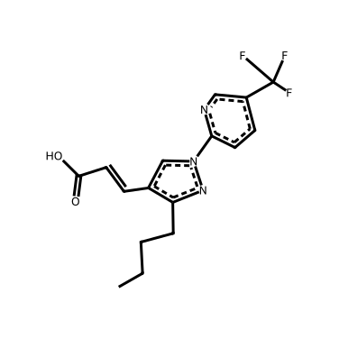 CCCCc1nn(-c2ccc(C(F)(F)F)cn2)cc1C=CC(=O)O